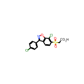 O=C(O)CS(=O)(=O)c1ccc2c(-c3ccc(Cl)cc3)noc2c1Cl